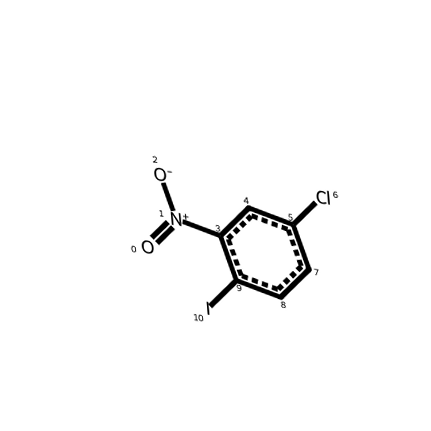 O=[N+]([O-])c1cc(Cl)ccc1I